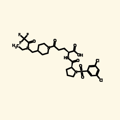 CCN(CC1CCN(C(=O)CC[C@H](NC(=O)[C@@H]2CCCN2S(=O)(=O)c2cc(Cl)cc(Cl)c2)C(=O)O)CC1)C(=O)C(F)(F)F